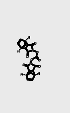 O=C(ON1C(=O)C2C(C1=O)[C@H]1C=C[C@@H]2C1)ON1C(=O)C2C(C1=O)[C@H]1C=C[C@@H]2C1